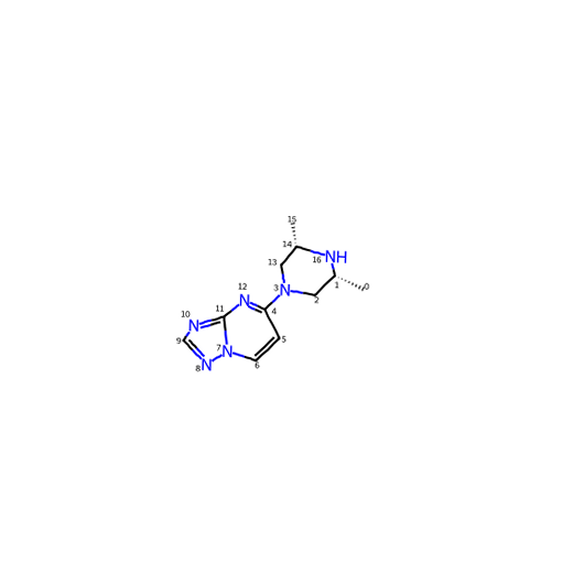 C[C@@H]1CN(c2ccn3ncnc3n2)C[C@H](C)N1